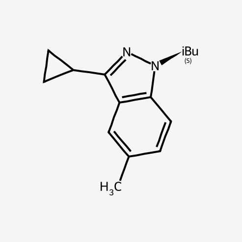 CC[C@H](C)n1nc(C2CC2)c2cc(C)ccc21